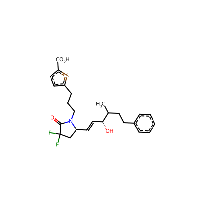 CC(CCc1ccccc1)[C@H](O)/C=C/C1CC(F)(F)C(=O)N1CCCc1ccc(C(=O)O)s1